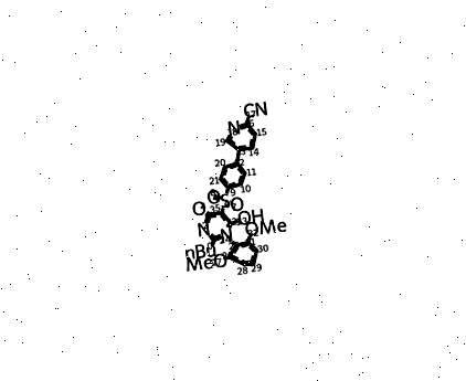 CCCCc1nc(=O)c(S(=O)(=O)c2ccc(-c3ccc(C#N)nc3)cc2)c(O)n1-c1c(OC)cccc1OC